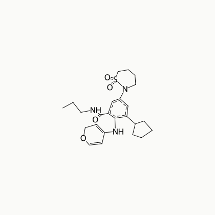 CCCNC(=O)c1cc(N2CCCCS2(=O)=O)cc(C2CCCC2)c1NC1=CCOC=C1